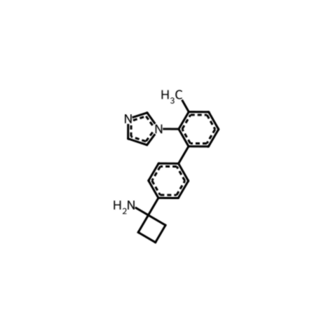 Cc1cccc(-c2ccc(C3(N)CCC3)cc2)c1-n1ccnc1